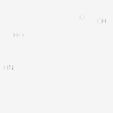 COc1ccc(-c2ccc[nH]2)c(O)c1